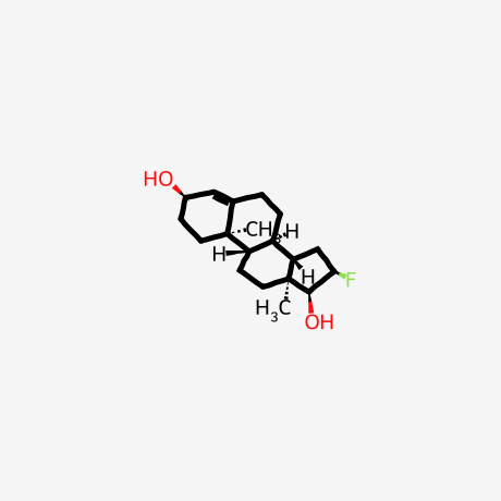 C[C@]12CC[C@H]3[C@@H](CCC4=C[C@H](O)CC[C@@]43C)[C@@H]1C[C@@H](F)[C@H]2O